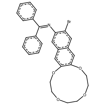 Brc1cc2cc3c(cc2cc1N=C(c1ccccc1)c1ccccc1)OCCOCCOCCO3